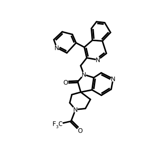 O=C(N1CCC2(CC1)C(=O)N(Cc1ncc3ccccc3c1-c1cccnc1)c1cnccc12)C(F)(F)F